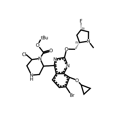 CN1C[C@@H](F)C[C@H]1COc1nc(C2CNCC(Cl)N2C(=O)OC(C)(C)C)c2ccc(Br)c(OC3CC3)c2n1